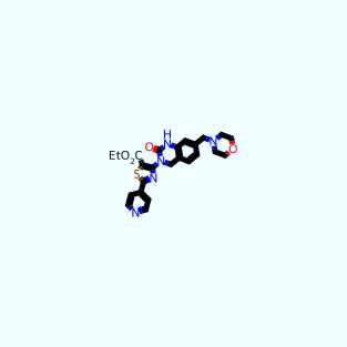 CCOC(=O)c1sc(-c2ccncc2)nc1N1Cc2ccc(CN3CCOCC3)cc2NC1=O